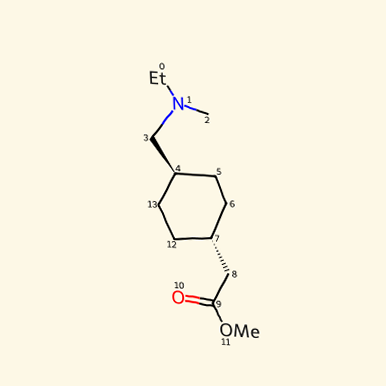 CCN(C)C[C@H]1CC[C@H](CC(=O)OC)CC1